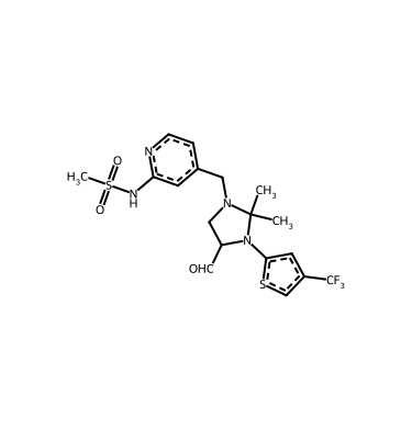 CC1(C)N(Cc2ccnc(NS(C)(=O)=O)c2)CC(C=O)N1c1cc(C(F)(F)F)cs1